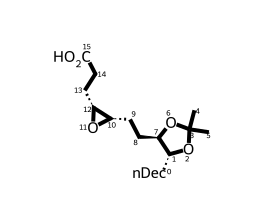 CCCCCCCCCC[C@H]1OC(C)(C)O[C@@H]1CC[C@@H]1O[C@@H]1CCC(=O)O